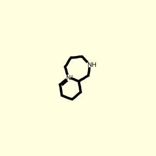 C1=[N+]2CCCNCC2CCC1